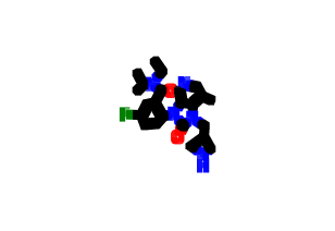 CCN(C(=O)c1cc(F)ccc1-n1c(=O)n(CC2CNC2)c2c(C)cncc21)C(C)C